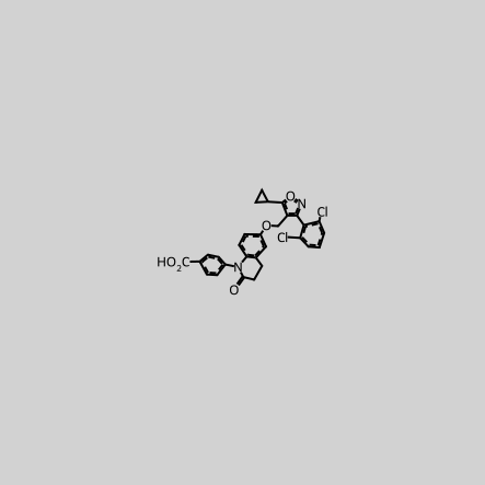 O=C(O)c1ccc(N2C(=O)CCc3cc(OCc4c(-c5c(Cl)cccc5Cl)noc4C4CC4)ccc32)cc1